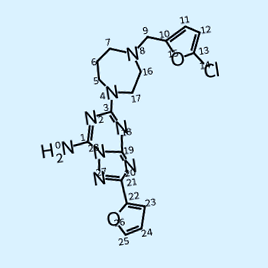 Nc1nc(N2CCCN(Cc3ccc(Cl)o3)CC2)nc2nc(-c3ccco3)nn12